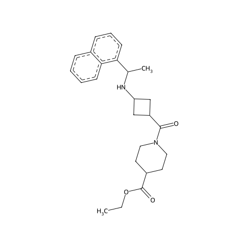 CCOC(=O)C1CCN(C(=O)C2CC(NC(C)c3cccc4ccccc34)C2)CC1